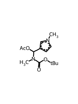 CC(=O)OC(c1ccn(C)c1)N(C)C(=O)OC(C)(C)C